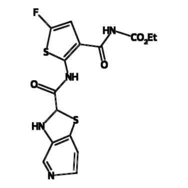 CCOC(=O)NC(=O)c1cc(F)sc1NC(=O)C1Nc2cnccc2S1